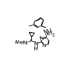 CNC(Nc1nccc(N)n1)C1CC1.Cc1cccc(C)c1